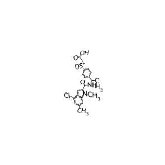 Cc1cc(Cl)c2cc(C(=O)NC(C)c3ccc([S+]([O-])CC(=O)O)cc3)n(C)c2c1